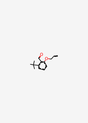 C=CCOc1cccc(C(C)(C)C)c1C=O